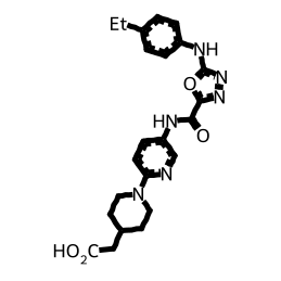 CCc1ccc(Nc2nnc(C(=O)Nc3ccc(N4CCC(CC(=O)O)CC4)nc3)o2)cc1